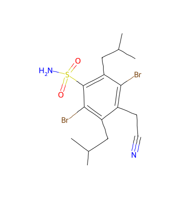 CC(C)Cc1c(Br)c(S(N)(=O)=O)c(CC(C)C)c(Br)c1CC#N